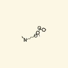 C=CCN(C)CCCCCCOc1ccc(C(=O)c2ccccc2)cc1C